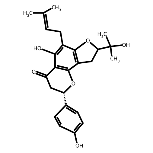 CC(C)=CCc1c(O)c2c(c3c1OC(C(C)(C)O)C3)O[C@H](c1ccc(O)cc1)CC2=O